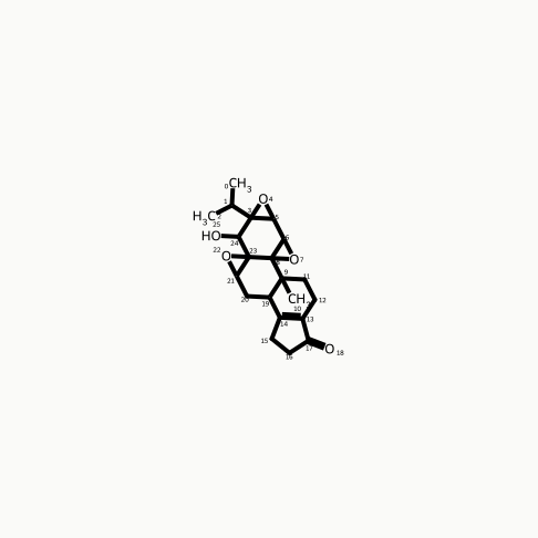 CC(C)C12OC1C1OC13C1(C)CCC4=C(CCC4=O)C1CC1OC13C2O